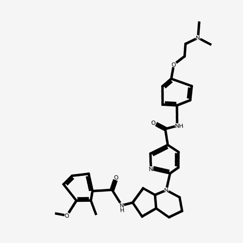 COc1cccc(C(=O)NC2CC3CCCN(c4ccc(C(=O)Nc5ccc(OCCN(C)C)cc5)cn4)C3C2)c1C